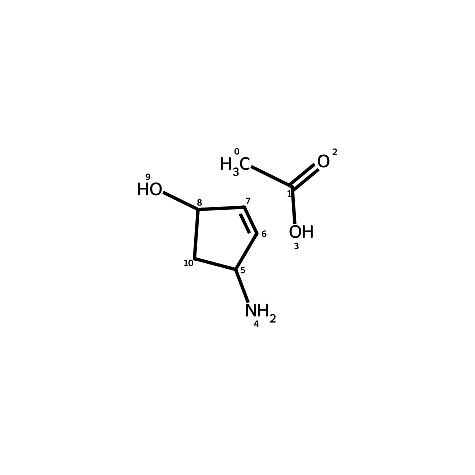 CC(=O)O.NC1C=CC(O)C1